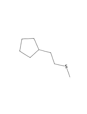 CSCCC1CCCC1